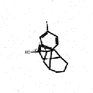 C[C@]1(O)CC2CCCC(C1)[C@@]2(CC(=O)O)c1ccc(F)cc1